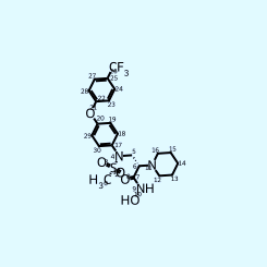 CS(=O)(=O)N(C[C@@H](C(=O)NO)N1CCCCC1)c1ccc(Oc2ccc(C(F)(F)F)cc2)cc1